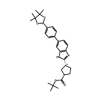 CC(C)(C)OC(=O)N1CC[C@@H](c2nc3ccc(-c4ccc(B5OC(C)(C)C(C)(C)O5)cc4)cc3[nH]2)C1